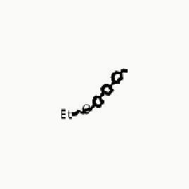 C=Cc1ccc(-c2ccc(-c3ccc(COCC=CCC)cc3)cc2)cc1